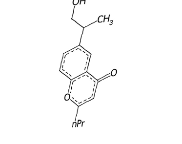 CCCc1cc(=O)c2cc(C(C)CO)ccc2o1